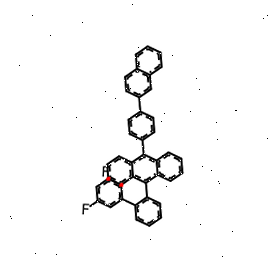 Fc1cc(F)cc(-c2ccccc2-c2c3ccccc3c(-c3ccc(-c4ccc5ccccc5c4)cc3)c3ccccc23)c1